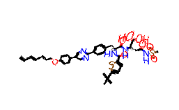 CCCCCCCOc1ccc(-c2cnc(-c3ccc(C[C@H](NC(=O)c4ccc(C(C)(C)C)s4)C(=O)N[C@@H](CC(=O)NS(C)(=O)=O)C(O)O)cc3)nc2)cc1